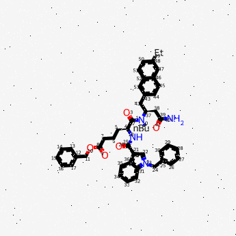 CCCCN(C(=O)[C@H](CCCC(=O)OCc1ccccc1)NC(=O)c1cn(Cc2ccccc2)c2ccccc12)[C@H](CC(N)=O)Cc1ccc2cc(CC)ccc2c1